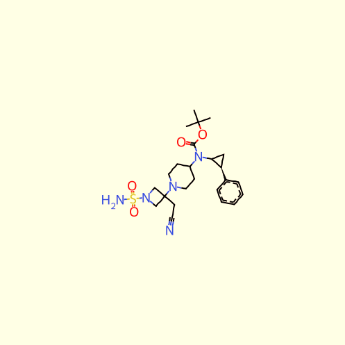 CC(C)(C)OC(=O)N(C1CCN(C2(CC#N)CN(S(N)(=O)=O)C2)CC1)C1C[C@H]1c1ccccc1